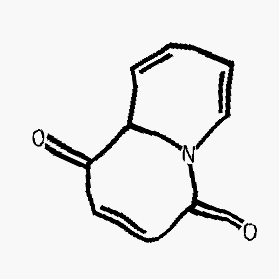 O=C1C=CC(=O)N2C=CC=CC12